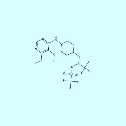 CCc1ncnc(NC2CCC(CC(OS(=O)(=O)C(F)(F)F)C(F)(F)F)CC2)c1OC